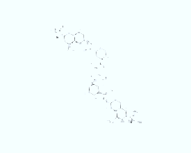 O=C(Nc1cccc(C(=O)Nc2ccc3cc(S(=O)(=O)O)cc(O)c3c2)c1)C(=O)Nc1cccc(C(=O)Nc2ccc3cc(S(=O)(=O)O)cc(O)c3c2)c1